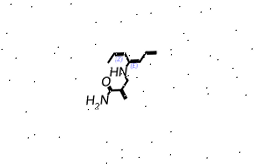 C=C/C=C(\C=C/C)NCC(=C)C(N)=O